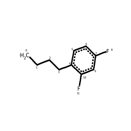 [CH2]CCCc1ccc(F)cc1F